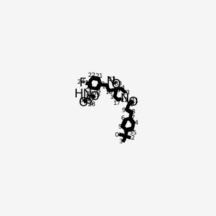 CC(C)(C)c1ccc(C=CC(=O)N2CCC3(CC2)CC(c2ccc(F)c(NS(C)(=O)=O)c2)=NO3)cc1